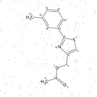 CC(=O)OCc1csc(-c2cccc(C)c2)n1